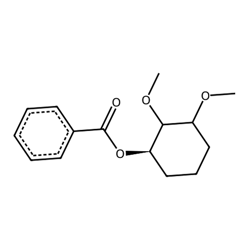 COC1CCC[C@@H](OC(=O)c2ccccc2)C1OC